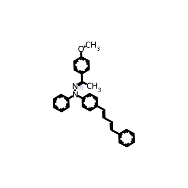 COc1ccc(/C(C)=N/N(c2ccccc2)c2ccc(C=CC=Cc3ccccc3)cc2)cc1